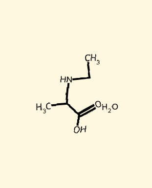 CCNC(C)C(=O)O.O